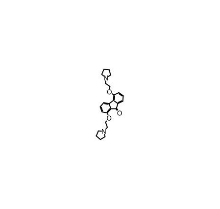 O=C1c2cccc(OCCN3CCCC3)c2-c2cccc(OCCN3CCCC3)c21